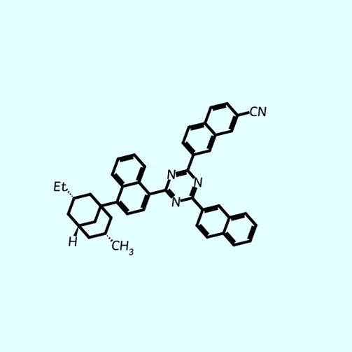 CC[C@H]1C[C@H]2C[C@@H](C)CC(c3ccc(-c4nc(-c5ccc6ccccc6c5)nc(-c5ccc6ccc(C#N)cc6c5)n4)c4ccccc34)(C2)C1